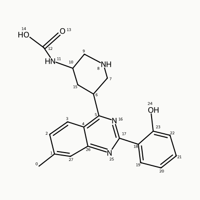 Cc1ccc2c(C3CNCC(NC(=O)O)C3)nc(-c3ccccc3O)nc2c1